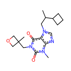 CC(Cn1cnc2c1c(=O)n(CC1(C)COC1)c(=O)n2C)C1CCC1